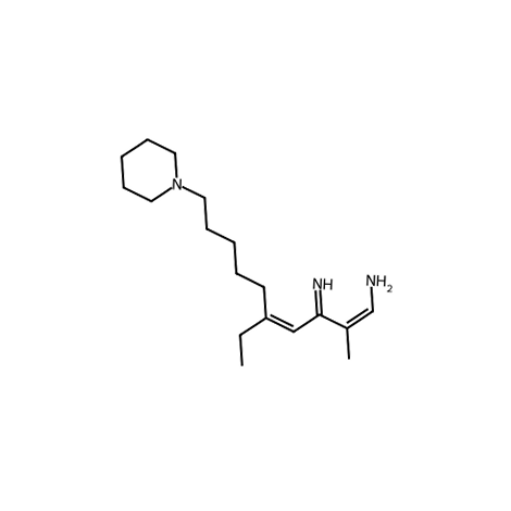 CC/C(=C/C(=N)/C(C)=C\N)CCCCCN1CCCCC1